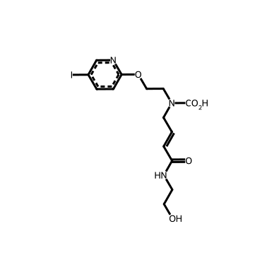 O=C(C=CCN(CCOc1ccc(I)cn1)C(=O)O)NCCO